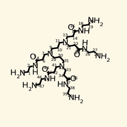 NCCNC(=O)CCN(CCCN(CCC(=O)NCCN)CCC(=O)NCCN)CCCN(CCC(=O)NCCN)CCC(=O)NCCN